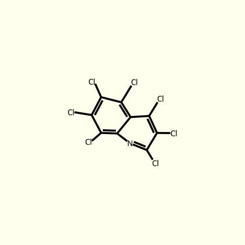 Clc1nc2c(Cl)c(Cl)c(Cl)c(Cl)c2c(Cl)c1Cl